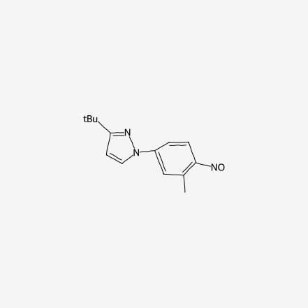 Cc1cc(-n2ccc(C(C)(C)C)n2)ccc1N=O